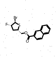 O=C(OC[C@@H]1C[C@H](F)[C@@H](Br)S1)c1ccc2ccccc2c1